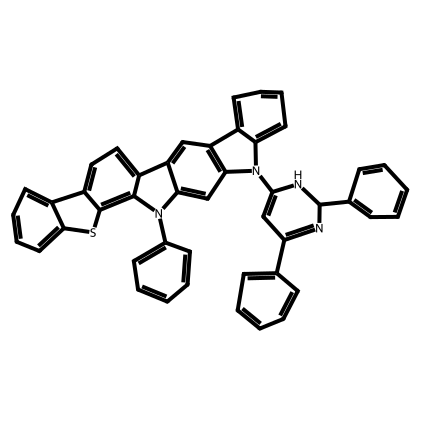 C1=C(n2c3ccccc3c3cc4c5ccc6c7ccccc7sc6c5n(-c5ccccc5)c4cc32)NC(c2ccccc2)N=C1c1ccccc1